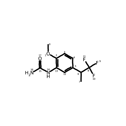 COc1ccc(C(C)C(F)(F)F)cc1NC(N)=O